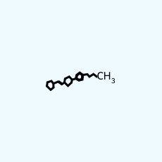 CCCCCc1ccc(C2CCC(/C=C/C3CCCCC3)CC2)cc1